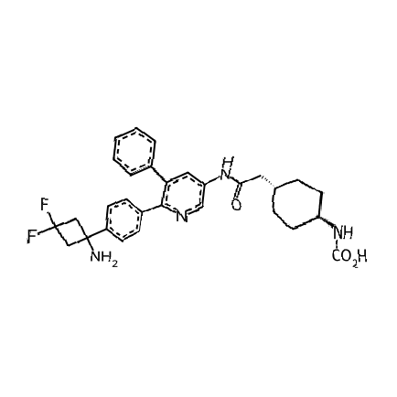 NC1(c2ccc(-c3ncc(NC(=O)C[C@H]4CC[C@H](NC(=O)O)CC4)cc3-c3ccccc3)cc2)CC(F)(F)C1